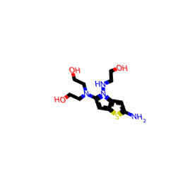 Nc1cc2c(cc(N(CCO)CCO)n2NCCO)s1